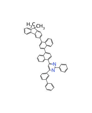 CC1(C)c2ccccc2-c2cc(-c3ccc(-c4ccc(-c5cc(-c6cccc(-c7ccccc7)c6)nc(-c6ccccc6)n5)c5ccccc45)c4ccccc34)ccc21